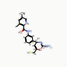 Cc1cc(C#N)cnc1C(=O)Nc1cccc([C@]2(C)C=C(CF)OC(N)=N2)c1